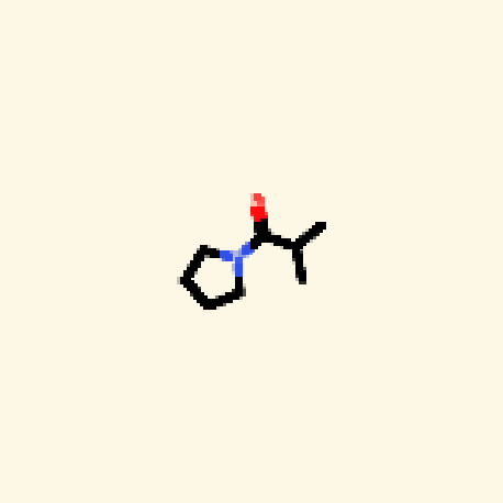 CC(C)C(=O)N1C[CH]CC1